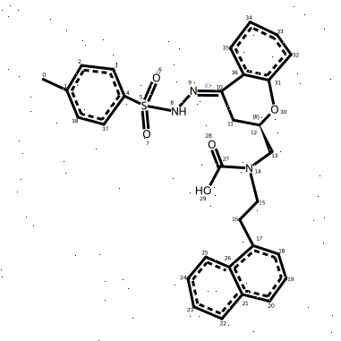 Cc1ccc(S(=O)(=O)N/N=C2\C[C@H](CN(CCc3cccc4ccccc34)C(=O)O)Oc3ccccc32)cc1